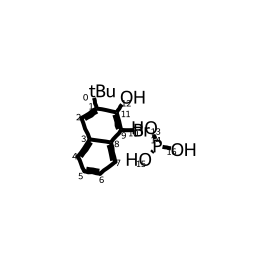 CC(C)(C)c1cc2ccccc2c(Br)c1O.OP(O)O